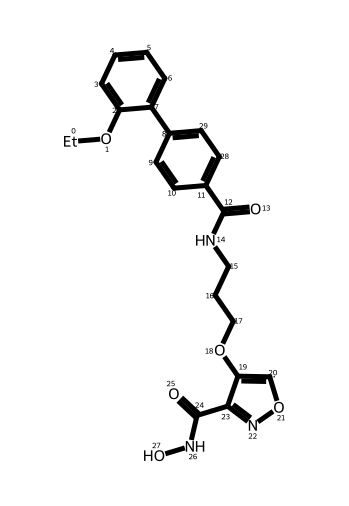 CCOc1ccccc1-c1ccc(C(=O)NCCCOc2[c]onc2C(=O)NO)cc1